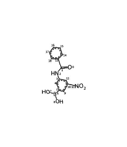 O=C(Nc1cc(B(O)O)cc([N+](=O)[O-])c1)c1ccccc1